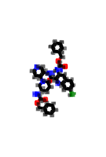 O=C(Nc1cc2ccc(Br)cc2nc1C(=O)Nc1cnccc1N1CCC[C@H](NC(=O)OCc2ccccc2)C1)OCc1ccccc1